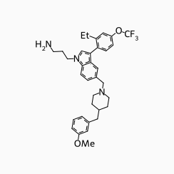 CCc1cc(OC(F)(F)F)ccc1-c1cn(CCCN)c2ccc(CN3CCC(Cc4cccc(OC)c4)CC3)cc12